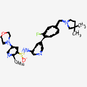 COc1ncc(N2CCOCC2)cc1[S+]([O-])Nc1cncc(-c2ccc(CN3CCC(C)(C)C3)cc2F)c1